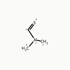 [CH3][Al]([CH3])[CH]=S